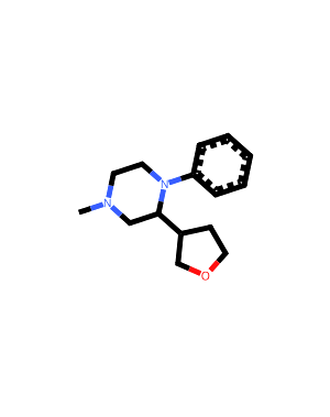 CN1CCN(c2ccccc2)C(C2CCOC2)C1